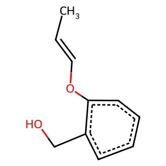 CC=COc1ccccc1CO